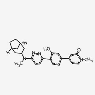 CN(c1ccc(-c2ccc(-c3ccn(C)c(=O)c3)cc2O)nn1)[C@H]1C[C@@H]2CC[C@@H](C2)C1